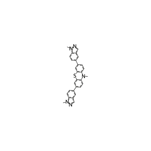 CN1c2ccc(-c3ccc4c(cnn4C)c3)cc2Sc2cc(-c3ccc4c(cnn4C)c3)ccc21